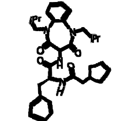 CC(C)CN1C(=O)C(NC(=O)[C@H](Cc2ccccc2)NC(=O)CC2CCCC2)C(=O)N(CC(C)C)c2ccccc21